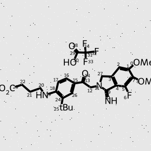 COc1cc2c(c(F)c1OC)C(=N)N(CC(=O)c1ccc(NCCCC(=O)O)c(C(C)(C)C)c1)C2.O=C(O)C(F)(F)F